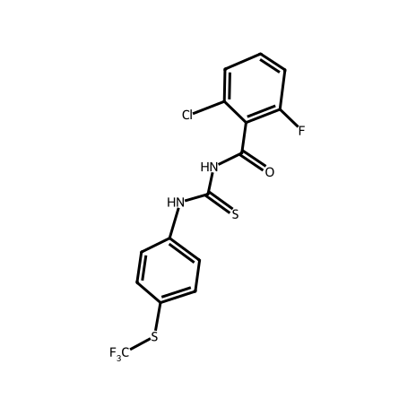 O=C(NC(=S)Nc1ccc(SC(F)(F)F)cc1)c1c(F)cccc1Cl